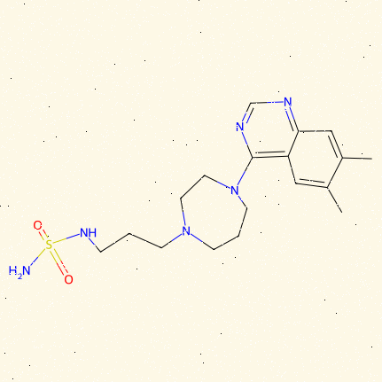 Cc1cc2ncnc(N3CCCN(CCCNS(N)(=O)=O)CC3)c2cc1C